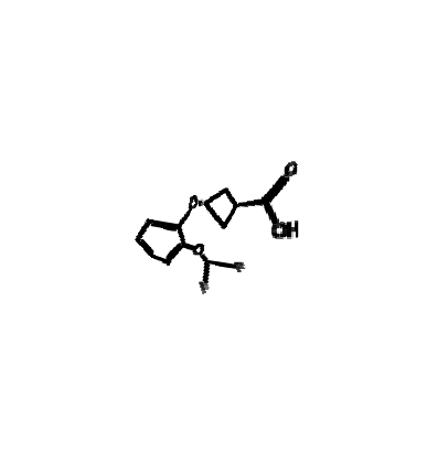 O=C(O)[C@H]1C[C@H](Oc2ccccc2OC(F)F)C1